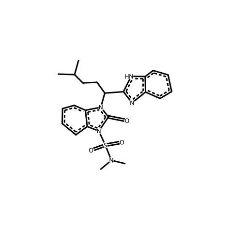 CC(C)CCC(c1nc2ccccc2[nH]1)n1c(=O)n(S(=O)(=O)N(C)C)c2ccccc21